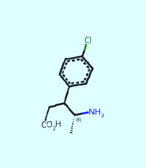 C[C@@H](N)C(CC(=O)O)c1ccc(Cl)cc1